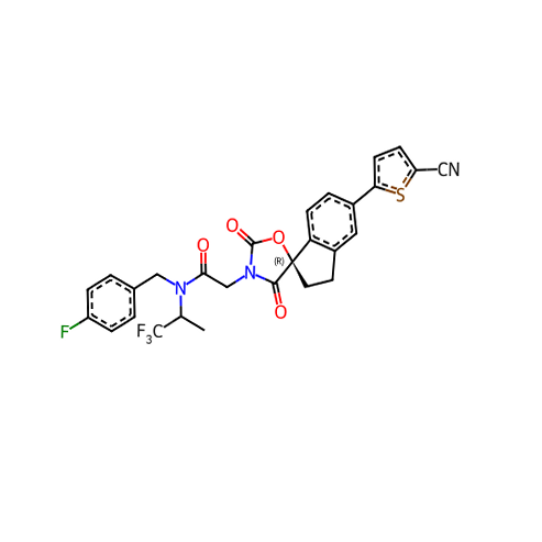 CC(N(Cc1ccc(F)cc1)C(=O)CN1C(=O)O[C@@]2(CCc3cc(-c4ccc(C#N)s4)ccc32)C1=O)C(F)(F)F